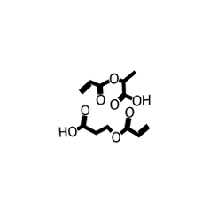 C=CC(=O)OC(C)C(=O)O.C=CC(=O)OCCC(=O)O